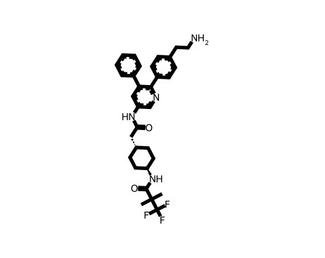 CC(C)(C(=O)N[C@H]1CC[C@H](CC(=O)Nc2cnc(-c3ccc(CCN)cc3)c(-c3ccccc3)c2)CC1)C(F)(F)F